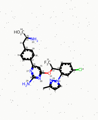 Cc1ccn(-c2cc(Cl)ccc2C(Oc2cc(-c3ccc(C[C@H](N)C(=O)O)cc3)nc(N)n2)C(F)(F)F)n1